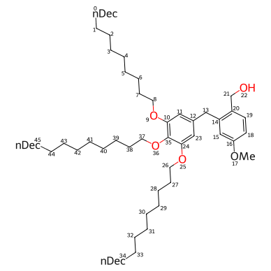 CCCCCCCCCCCCCCCCCCOc1cc(Cc2cc(OC)ccc2CO)cc(OCCCCCCCCCCCCCCCCCC)c1OCCCCCCCCCCCCCCCCCC